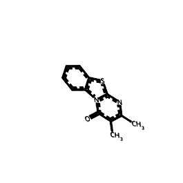 Cc1nc2sc3ccccc3n2c(=O)c1C